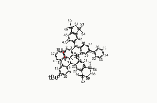 Cc1cc2c3c(c1)C(c1ccc(C(C)(C)C)cc1-c1ccccc1)c1cc4c(cc1B3c1cc(-c3ccccc3)ccc1C2c1cc2c(cc1C)C(C)(C)CC2(C)C)C(C)(C)CCC4(C)C